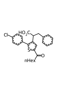 CCCCCCC(=O)c1cc(C(Cc2ccccc2)C(=O)O)c(-c2ccc(Cl)cc2)s1